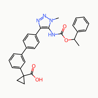 CC(OC(=O)Nc1c(-c2ccc(-c3cccc(C4(C(=O)O)CC4)c3)cc2)nnn1C)c1ccccc1